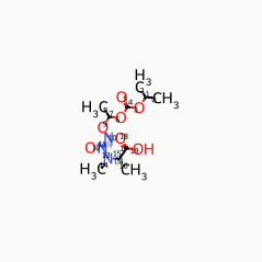 CC(C)OC(=O)OC(C)O/N=[N+](\[O-])N(C)[C@@H](C)C(=O)O